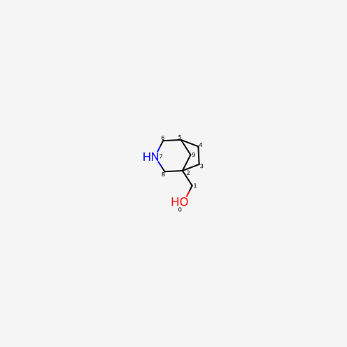 OCC12CCC(CNC1)C2